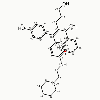 C=C(/C=C\C(=C/C)NCCN1CCCCC1)/C(=C(/CCCO)C(C)c1ccccc1)c1ccc(O)cc1